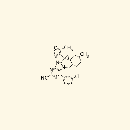 Cc1ocnc1C1(c2nc3nc(C#N)nc(-c4cccc(Cl)c4)c3n2CC2CCC(C)CC2)CC1